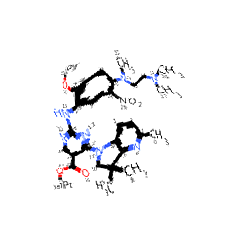 Cc1ccc2c(n1)C(C)(C)CN2c1nc(Nc2cc([N+](=O)[O-])c(N(C)CCN(C)C)cc2OC(C)C)ncc1C(=O)OC(C)C